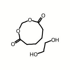 O=C1CCCCC(=O)OCO1.OCCO